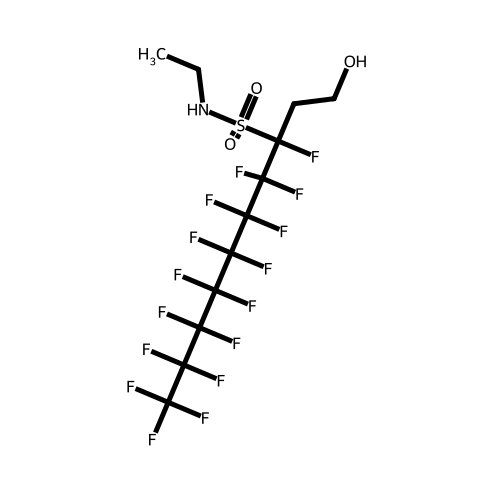 CCNS(=O)(=O)C(F)(CCO)C(F)(F)C(F)(F)C(F)(F)C(F)(F)C(F)(F)C(F)(F)C(F)(F)F